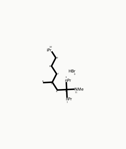 Br.CCCC(CCC)(CC(C)CCCC(C)C)NC